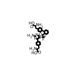 Nc1nc(OC(c2ccccc2-c2ccc(CC(N)C(=O)O)cc2)C(F)(F)F)cc(-c2ccc(C[C@H](N)C(=O)O)cc2)n1